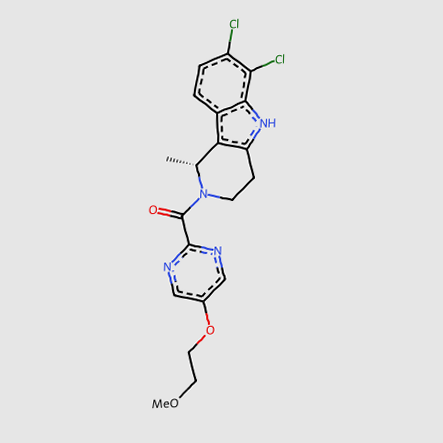 COCCOc1cnc(C(=O)N2CCc3[nH]c4c(Cl)c(Cl)ccc4c3[C@H]2C)nc1